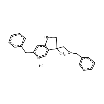 CC1(COCc2ccccc2)CNc2cc(Cc3ccccc3)ncc21.Cl